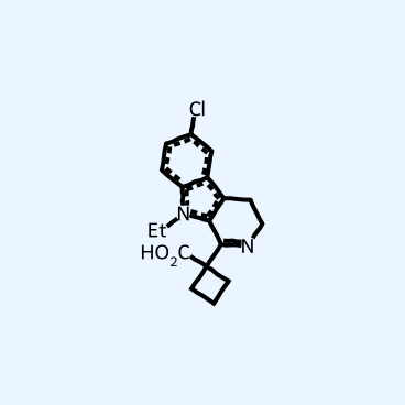 CCn1c2c(c3cc(Cl)ccc31)CCN=C2C1(C(=O)O)CCC1